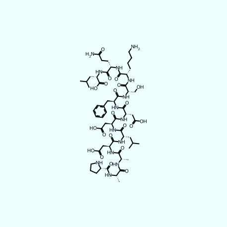 CC(C)C[C@H](NC(=O)[C@H](CCC(N)=O)NC(=O)[C@H](CCCCN)NC(=O)[C@H](CO)NC(=O)[C@H](Cc1ccccc1)NC(=O)[C@H](CC(=O)O)NC(=O)[C@H](CC(=O)O)NC(=O)[C@H](CC(C)C)NC(=O)[C@H](CC(=O)O)NC(=O)[C@H](C)NC(=O)[C@H](C)NC(=O)[C@@H]1CCCN1)C(=O)O